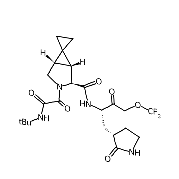 CC(C)(C)NC(=O)C(=O)N1C[C@H]2[C@@H]([C@H]1C(=O)N[C@@H](C[C@@H]1CCNC1=O)C(=O)COC(F)(F)F)C21CC1